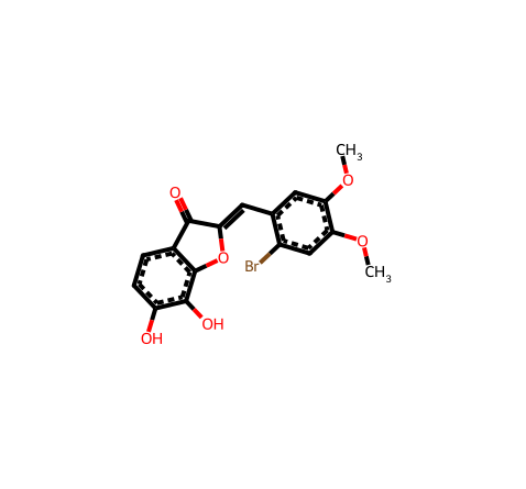 COc1cc(Br)c(/C=C2\Oc3c(ccc(O)c3O)C2=O)cc1OC